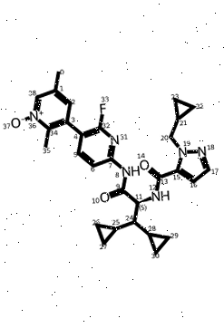 Cc1cc(-c2ccc(NC(=O)[C@@H](NC(=O)c3ccnn3CC3CC3)C(C3CC3)C3CC3)nc2F)c(C)[n+]([O-])c1